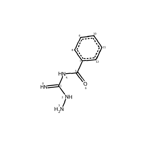 N=C(NN)NC(=O)c1ccccc1